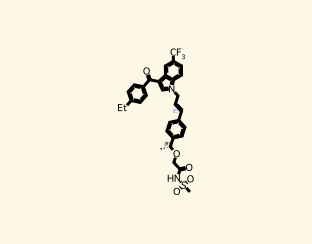 CCc1ccc(C(=O)c2cn(C/C=C/c3ccc([C@@H](C)OCC(=O)NS(C)(=O)=O)cc3)c3ccc(C(F)(F)F)cc23)cc1